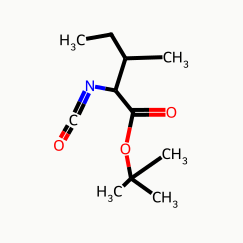 CCC(C)C(N=C=O)C(=O)OC(C)(C)C